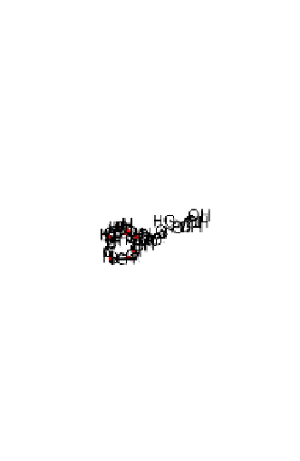 C=C1C[C@@H]2CC[C@@]34C[C@@H]5O[C@@H]6[C@@H](C[C@H]7CC[C@H](CC(=O)O[C@H]8C(C[C@H]9O[C@@H](CCC1O2)C[C@@H](C)C9=C)O[C@H]1C[C@H]2O[C@@]9(CC%10O[C@H](C[C@H](C)C%11O[C@H](C(O)CC(O)CO)CC%11O)C[C@H](C)C%10O9)C[C@H]2O[C@H]1[C@@H]8C)O[C@@H]7[C@@H]6O3)[C@@H]5O4